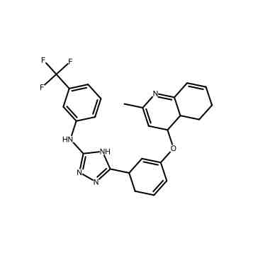 CC1=CC(OC2=CC(c3nnc(Nc4cccc(C(F)(F)F)c4)[nH]3)CC=C2)C2CCC=CC2=N1